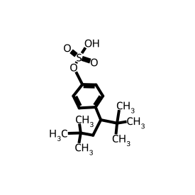 CC(C)(C)CC(c1ccc(OS(=O)(=O)O)cc1)C(C)(C)C